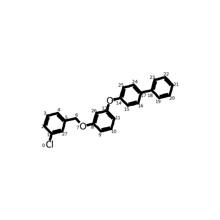 Clc1cccc(COc2cccc(Oc3ccc(-c4[c]cccc4)cc3)c2)c1